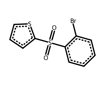 O=S(=O)(c1cccs1)c1ccccc1Br